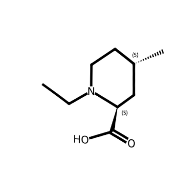 CCN1CC[C@H](C)C[C@H]1C(=O)O